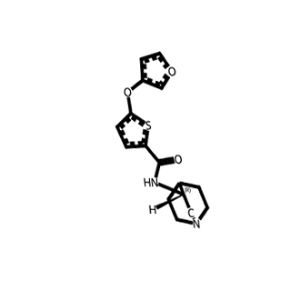 O=C(N[C@H]1CN2CCC1CC2)c1ccc(Oc2ccoc2)s1